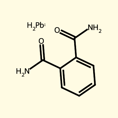 NC(=O)c1ccccc1C(N)=O.[PbH2]